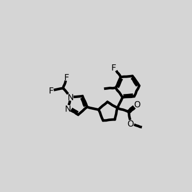 COC(=O)C1(c2cccc(F)c2C)CCC(c2cnn(C(F)F)c2)C1